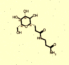 NC(=O)CCNC(=O)CC[C@@H]1O[C@H](CO)[C@@H](O)[C@H](O)C1O